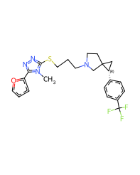 Cn1c(SCCCN2CCC3(C[C@@H]3c3ccc(C(F)(F)F)cc3)C2)nnc1-c1ccco1